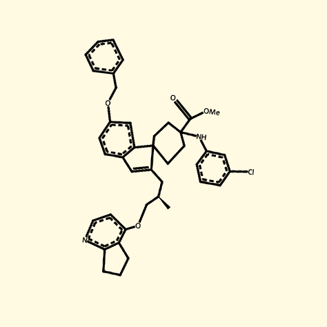 COC(=O)C1(Nc2cccc(Cl)c2)CCC2(CC1)C(C[C@@H](C)COc1ccnc3c1CCC3)=Cc1ccc(OCc3ccccc3)cc12